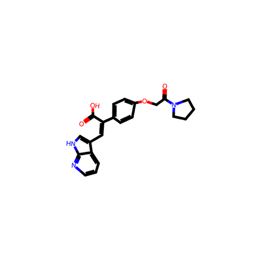 O=C(O)C(=Cc1c[nH]c2ncccc12)c1ccc(OCC(=O)N2CCCC2)cc1